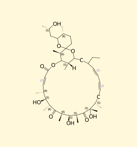 CCC1/C=C\C=C/C[C@H](C)[C@](C)(O)C(=O)[C@@H](C)[C@@H](O)[C@@H](C)C(=O)[C@H](C)[C@@H](O)[C@H](C)/C=C\C(=O)OC2[C@@H](C)C(C1)OC1(CC[C@@H](C)C(C[C@H](C)O)O1)[C@@H]2C